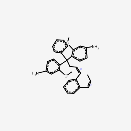 C/C=C\c1ccccc1/C=C\CC(c1ccccc1)(c1ccc(N)cc1OC)c1ccc(N)cc1OC